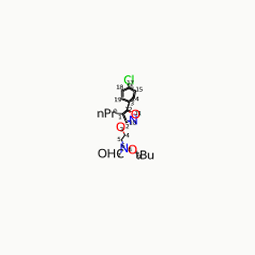 CCCc1c(OCCN(C=O)OC(C)(C)C)noc1-c1ccc(Cl)cc1